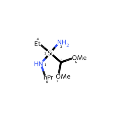 CCCN[Si](N)(CC)C(OC)OC